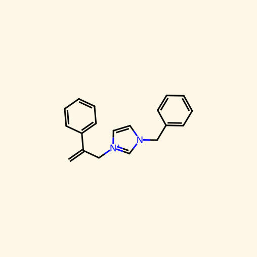 C=C(C[n+]1ccn(Cc2ccccc2)c1)c1ccccc1